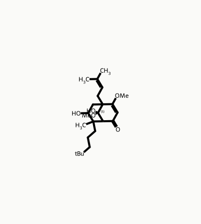 COC1=CC(=O)C2C(C)(CCCC(C)(C)C)C(O)CC1(CC=C(C)C)[C@@]2(O)OC